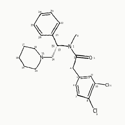 CN(C(=O)Cc1ccc(Cl)c(Cl)c1)[C@H](CN1CCCCC1)c1ccccc1